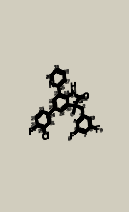 CC1(Cc2cc(F)cc(F)c2)C(=O)Nc2c(-c3ccccn3)cc(-c3ccc(F)c(Cl)c3)cc21